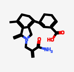 C=C(CN1CC2=C(C3=CC(C(=O)O)=CCC3)CCC(C)=C2C1=C)C(N)=O